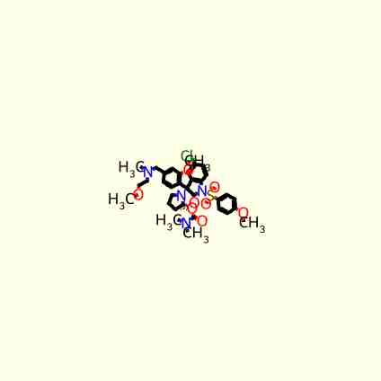 COCCN(C)Cc1ccc(C2(N3CCC[C@@H]3OC(=O)N(C)C)C(=O)N(S(=O)(=O)c3ccc(OC)cc3)c3ccc(Cl)cc32)c(OC)c1